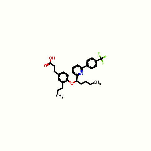 CCCCC(Oc1ccc(CCC(=O)O)cc1CCC)c1cccc(-c2ccc(C(F)(F)F)cc2)n1